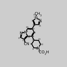 Cn1cc(-c2cc(C3CCN(C(=O)O)CC3)c3c(C#N)cnn3c2)cn1